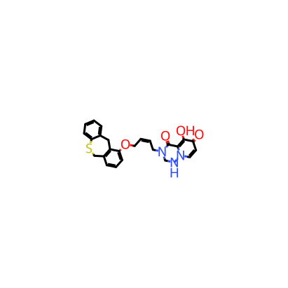 O=C1c2c(O)c(=O)ccn2NCN1C/C=C\COc1cccc2c1Cc1ccccc1SC2